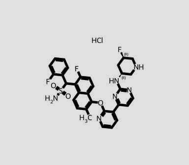 Cc1ccc2c(C(c3ccccc3F)S(N)(=O)=O)c(F)ccc2c1Oc1ncccc1-c1ccnc(N[C@H]2CNC[C@H](F)C2)n1.Cl